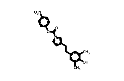 Cc1cc(CCc2ccn(C(=O)Oc3ccc([N+](=O)[O-])cc3)c2)cc(C)c1O